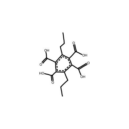 CCCc1c(C(=O)O)c(C(=O)O)c(CCC)c(C(=O)O)c1C(=O)O